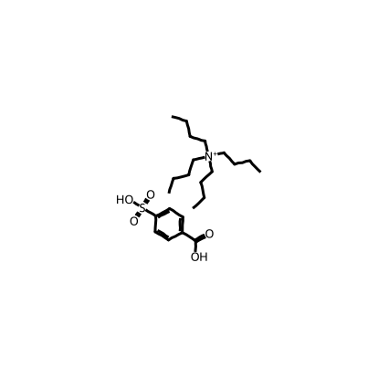 CCCC[N+](CCCC)(CCCC)CCCC.O=C(O)c1ccc(S(=O)(=O)O)cc1